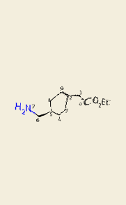 CCOC(=O)C[C@H]1CC[C@@H](CN)CC1